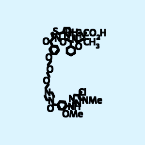 CNc1nc(Nc2ccc(C(=O)N3CCN(CCOCCOCCOc4cccc(C(=O)c5csc(C6CCCN6C(=O)[C@@H](NC(=O)C(C)N(C)C(=O)O)C6CCCCC6)n5)c4)CC3)cc2OC)ncc1Cl